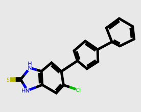 S=c1[nH]c2cc(Cl)c(-c3ccc(-c4ccccc4)cc3)cc2[nH]1